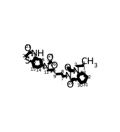 CCCn1c(=O)n(CCC[C@@H]2CN(c3ccc4c(c3)NC(=O)CS4)C(=O)O2)c(=O)c2ccccc21